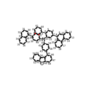 c1ccc(-c2ccc(-c3cc4ccccc4c4ccccc34)cc2N(c2ccc(-c3cccc4ccccc34)cc2)c2ccc(-c3cccc4oc5ccccc5c34)cc2)cc1